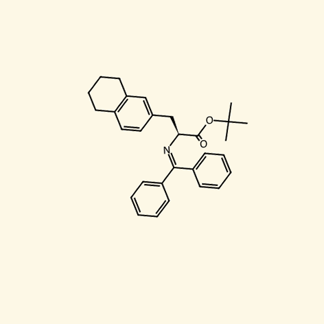 CC(C)(C)OC(=O)[C@H](Cc1ccc2c(c1)CCCC2)N=C(c1ccccc1)c1ccccc1